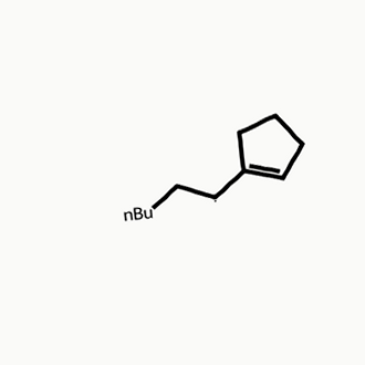 CCCCC[CH]C1=CCCC1